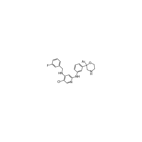 CC(=O)C1(c2cccc(Nc3cc(NCc4cccc(F)c4)c(Cl)cn3)c2)CNCCO1